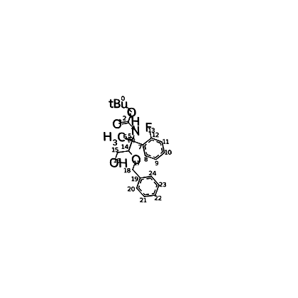 CC(C)(C)OC(=O)N[C@](C)(c1ccccc1F)C(CO)OCc1ccccc1